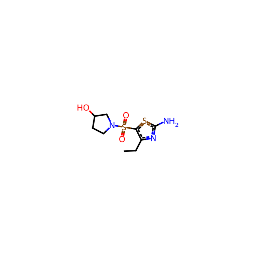 CCc1nc(N)sc1S(=O)(=O)N1CCC(O)C1